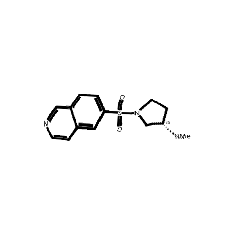 CN[C@H]1CCN(S(=O)(=O)c2ccc3cnccc3c2)C1